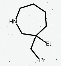 CCC1(CC(C)C)CCCCNC1